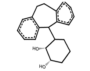 O[C@@H]1C(C2c3ccccc3CCc3ccccc32)CCC[C@@H]1O